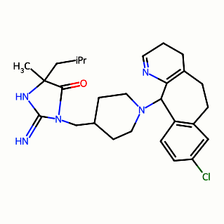 CC(C)CC1(C)NC(=N)N(CC2CCN(C3C4=C(CCC=N4)CCc4cc(Cl)ccc43)CC2)C1=O